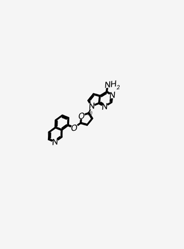 Nc1ncnc2c1ccn2[C@H]1CCC(Oc2cccc3ccncc23)O1